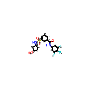 O=C(Nc1cc(F)c(F)c(F)c1)c1cccc(S(=O)(=O)NC2CCC(O)C2)c1